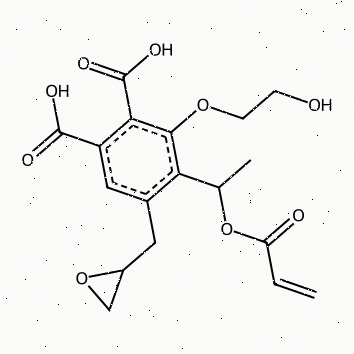 C=CC(=O)OC(C)c1c(CC2CO2)cc(C(=O)O)c(C(=O)O)c1OCCO